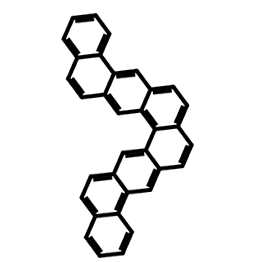 c1ccc2c(c1)ccc1cc3c(ccc4ccc5cc6c(ccc7ccccc76)cc5c43)cc12